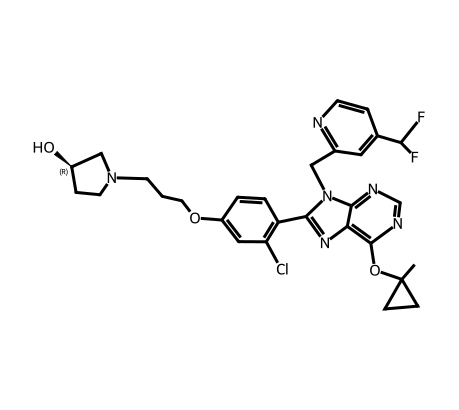 CC1(Oc2ncnc3c2nc(-c2ccc(OCCCN4CC[C@@H](O)C4)cc2Cl)n3Cc2cc(C(F)F)ccn2)CC1